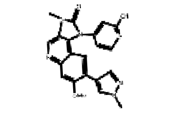 COc1cc2ncc3c(c2cc1-c1cnn(C)c1)n(-c1ccnc(C#N)c1)c(=O)n3C